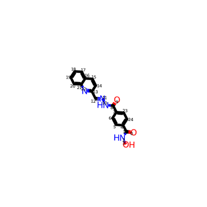 O=C(NO)c1ccc(C(=O)N/N=C/c2ccc3ccccc3n2)cc1